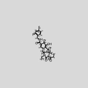 CC(C)CN1C(=O)[C@@H]2C(=O)CCC[C@@H]2N2C(=O)c3c(O)c(=O)c(C(=O)NCc4ccc(F)cc4F)cn3C[C@@H]12